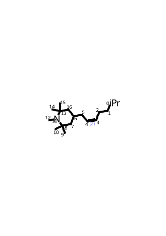 CC(C)CC/C=C\CC1CC(C)(C)N(C)C(C)(C)C1